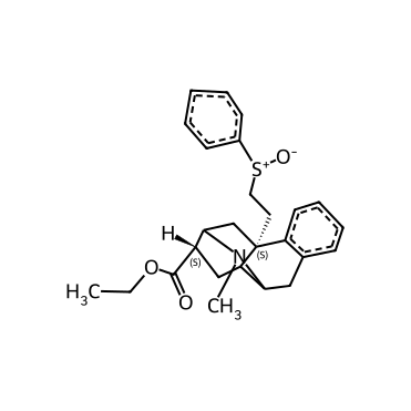 CCOC(=O)[C@H]1CC2C3Cc4ccccc4[C@]2(CC[S+]([O-])c2ccccc2)CC1N3C